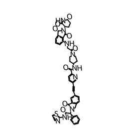 O=C1CCC(N2C(=O)c3cccc(NCC(=O)N4CCC(NC(=O)c5ccc(C#Cc6ccc7c(c6)C(=O)N(C(C(=O)Nc6nccs6)c6ccccc6)C7)cn5)CC4)c3C2=O)C(=O)N1